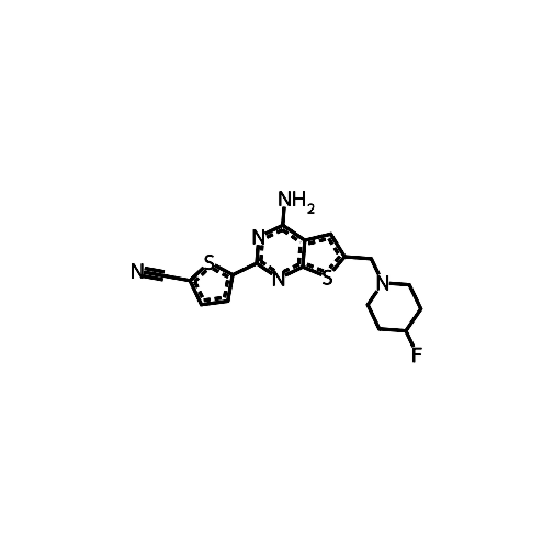 N#Cc1ccc(-c2nc(N)c3cc(CN4CCC(F)CC4)sc3n2)s1